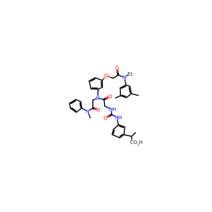 CCN(C(=O)COc1cccc(N(CC(=O)N(C)c2ccccc2)C(=O)CNC(=O)Nc2cccc(C(C)C(=O)O)c2)c1)c1cc(C)cc(C)c1